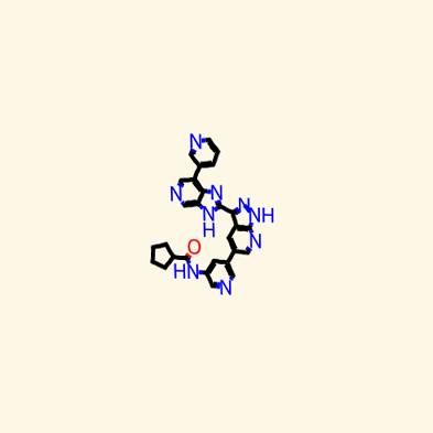 O=C(Nc1cncc(-c2cnc3[nH]nc(-c4nc5c(-c6cccnc6)cncc5[nH]4)c3c2)c1)C1CCCC1